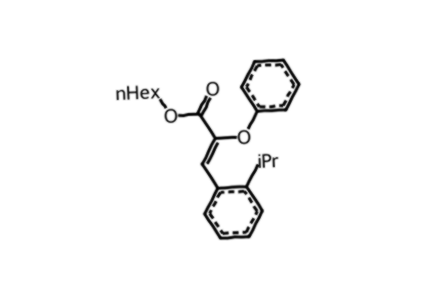 CCCCCCOC(=O)C(=Cc1ccccc1C(C)C)Oc1ccccc1